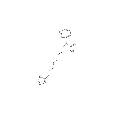 S=C(S)N(CCCCCCCCc1ccco1)c1cccnc1